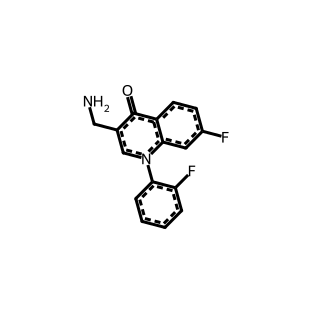 NCc1cn(-c2ccccc2F)c2cc(F)ccc2c1=O